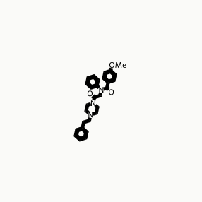 COc1ccc(C(=O)N(CC(=O)N2CCN(CCc3ccccc3)CC2)c2ccccc2)cc1